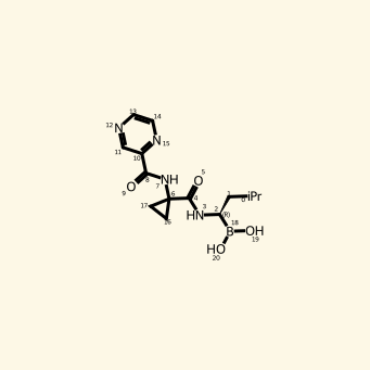 CC(C)C[C@H](NC(=O)C1(NC(=O)c2cnccn2)CC1)B(O)O